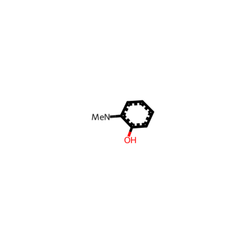 [CH2]Nc1ccccc1O